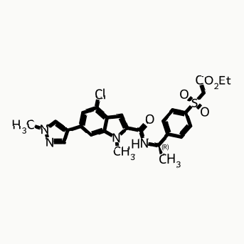 CCOC(=O)CS(=O)(=O)c1ccc([C@@H](C)NC(=O)c2cc3c(Cl)cc(-c4cnn(C)c4)cc3n2C)cc1